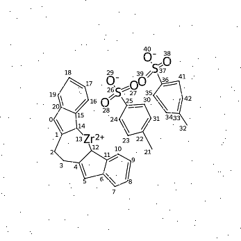 C1=C2CCC3=Cc4ccccc4[CH]3[Zr+2][CH]2c2ccccc21.Cc1ccc(S(=O)(=O)[O-])cc1.Cc1ccc(S(=O)(=O)[O-])cc1